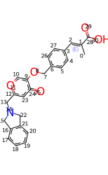 C/C(=C\c1ccc(COc2coc(CN3Cc4ccccc4C3)cc2=O)cc1)C(=O)O